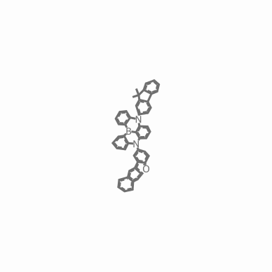 CC1(C)c2ccccc2-c2ccc(N3c4ccccc4B4c5ccccc5N(c5ccc6oc7cc8ccccc8cc7c6c5)c5cccc3c54)cc21